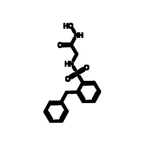 O=C(CNS(=O)(=O)c1ccccc1Cc1ccccc1)NO